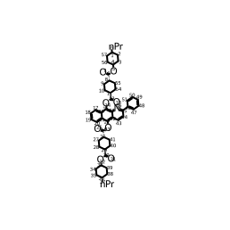 CCCC1CCC(OC(=O)[C@H]2CC[C@H](C(=O)Oc3c4ccccc4c(OC(=O)[C@H]4CC[C@H](C(=O)O[C@H]5CC[C@H](CCC)CC5)CC4)c4ccc(-c5ccccc5)nc34)CC2)CC1